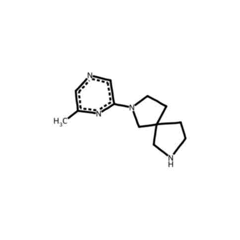 Cc1cncc(N2CCC3(CCNC3)C2)n1